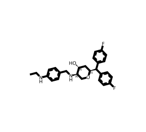 CCNc1ccc(CN[C@@H]2CO[C@H](C(c3ccc(F)cc3)c3ccc(F)cc3)C[C@H]2O)cc1